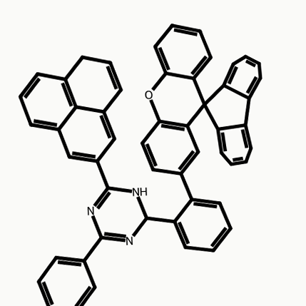 C1=Cc2cc(C3=NC(c4ccccc4)=NC(c4ccccc4-c4ccc5c(c4)C4(c6ccccc6O5)c5ccccc5-c5ccccc54)N3)cc3cccc(c23)C1